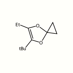 CCC1=C(C(C)(C)C)OC2(CC2)O1